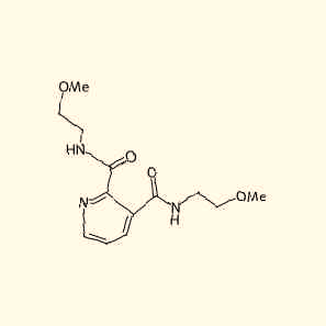 COCCNC(=O)c1cccnc1C(=O)NCCOC